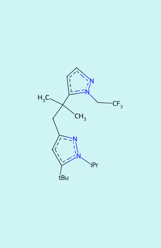 CC(C)n1nc(CC(C)(C)c2ccnn2CC(F)(F)F)cc1C(C)(C)C